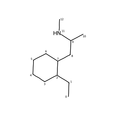 CCC1CCCCC1CC(C)NC